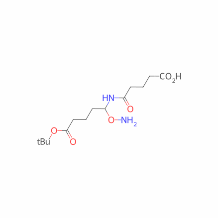 CC(C)(C)OC(=O)CCCC(NC(=O)CCCC(=O)O)ON